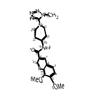 COc1ccc2cc(C(=O)NC3CCN(c4nnnn4C)CC3)cnc2c1OC